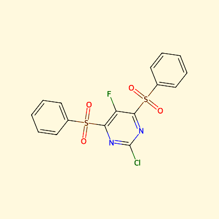 O=S(=O)(c1ccccc1)c1nc(Cl)nc(S(=O)(=O)c2ccccc2)c1F